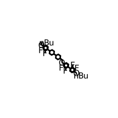 CCCCOc1ccc(-c2ccc(OCC3CCC(C4CCC(c5ccc(OCCCC)c(F)c5F)CC4)CC3)c(F)c2F)c(F)c1F